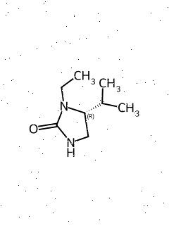 CCN1C(=O)NC[C@H]1C(C)C